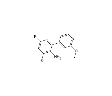 COc1cc(-c2cc(F)cc(Br)c2N)ccn1